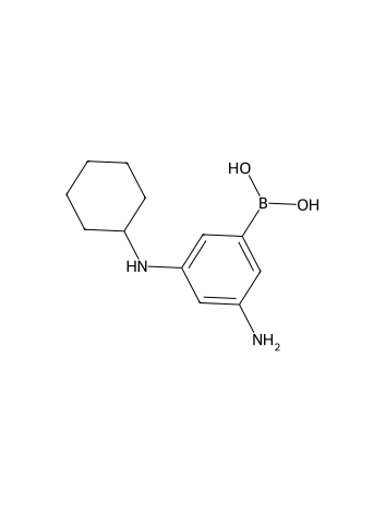 Nc1cc(NC2CCCCC2)cc(B(O)O)c1